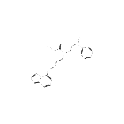 CC(=O)N(CCN(CCCSc1cccc2nccn12)C(=O)OC(C)(C)C)c1ccccc1